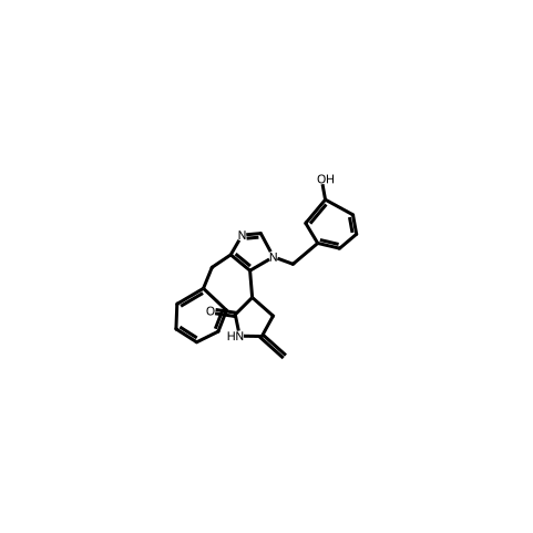 C=C1CC(c2c(Cc3ccccc3)ncn2Cc2cccc(O)c2)C(=O)N1